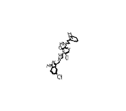 O=c1c(NCCC2CCCCN2)ncc(Cl)n1CCNCc1n[nH]c2ccc(Cl)cc12